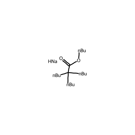 CCCCOC(=O)C(CCCC)(CCCC)CCCC.[NaH]